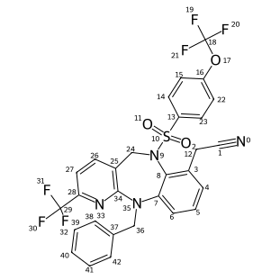 N#CCc1cccc2c1N(S(=O)(=O)c1ccc(OC(F)(F)F)cc1)Cc1ccc(C(F)(F)F)nc1N2Cc1ccccc1